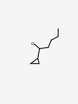 CCCCC(Cl)C1CC1